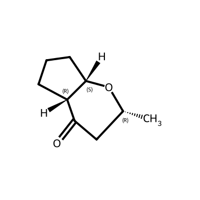 C[C@@H]1CC(=O)[C@@H]2CCC[C@@H]2O1